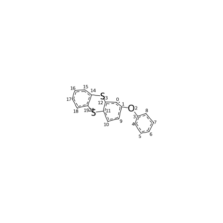 [c]1c(Oc2ccccc2)ccc2c1Sc1ccccc1S2